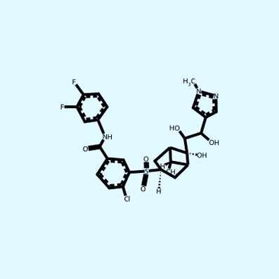 Cn1cc(C(O)C(O)[C@]2(O)C3C[C@H](S(=O)(=O)c4cc(C(=O)Nc5ccc(F)c(F)c5)ccc4Cl)CC2[C@@H]3C)cn1